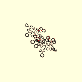 COC1OC(COC(=O)c2ccccc2)C(O[C@H]2OC(COC(=O)c3ccccc3)[C@H](OC3OC(COC(=O)c4ccccc4)C(O[C@H]4OC(COC(=O)c5ccccc5)[C@H](O)C(OC(=O)c5ccccc5)[C@H]4N4C(=O)c5ccccc5C4=O)[C@H](OC(=O)c4ccccc4)[C@@H]3N3C(=O)c4ccccc4C3=O)C(OC(=O)c3ccccc3)[C@H]2N2C(=O)c3ccccc3C2=O)[C@H](OC(=O)c2ccccc2)[C@@H]1N1C(=O)c2ccccc2C1=O